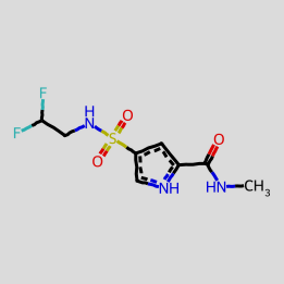 CNC(=O)c1cc(S(=O)(=O)NCC(F)F)c[nH]1